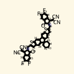 N#CC(C#N)=C1/C(=C/c2cc3cc4c(cc3s2)-c2cc3sc(/C=C5\C(=O)c6cc(F)c(F)cc6C5=C(C#N)C#N)cc3cc2C42CCCCC2)C(=O)c2cc(F)c(F)cc21